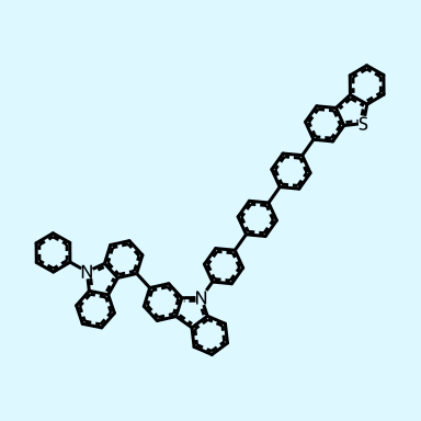 c1ccc(-n2c3ccccc3c3c(-c4ccc5c6ccccc6n(-c6ccc(-c7ccc(-c8ccc(-c9ccc%10c(c9)sc9ccccc9%10)cc8)cc7)cc6)c5c4)cccc32)cc1